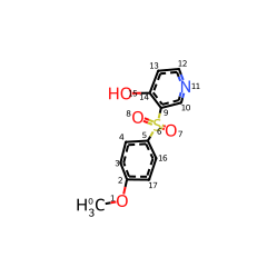 COc1ccc(S(=O)(=O)c2cnccc2O)cc1